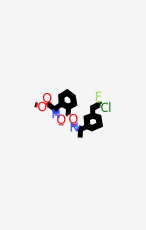 CO/N=C(/C(=O)OC)c1ccccc1CON=C(C)c1cccc(C=C(F)Cl)c1